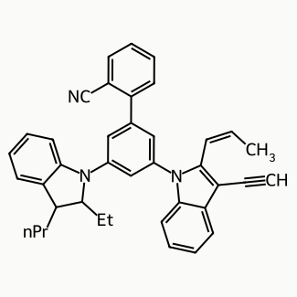 C#Cc1c(/C=C\C)n(-c2cc(-c3ccccc3C#N)cc(N3c4ccccc4C(CCC)C3CC)c2)c2ccccc12